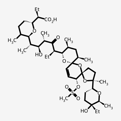 CC[C@@H](C(=O)[C@@H](C)[C@@H](O)[C@H](C)[C@@H]1O[C@@H]([C@@H](CC)C(=O)O)CCC1C)[C@H]1O[C@]2(C=C[C@@H](OS(C)(=O)=O)[C@]3(CC[C@@](C)([C@H]4CC[C@](O)(CC)[C@H](C)O4)O3)O2)[C@H](C)C[C@@H]1C